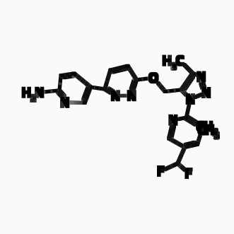 C=C(/N=C\C(=C/C)C(F)F)n1nnc(C)c1COc1ccc(-c2ccc(N)nc2)nn1